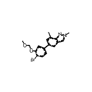 COCOc1cc(-c2cc(C)c3nn(C)cc3c2)ccc1Br